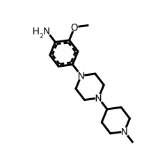 COc1cc(N2CCN(C3CCN(C)CC3)CC2)ccc1N